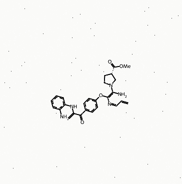 C=C/C=N\C(Oc1ccc(C(=O)C(=C)Nc2ccccc2N)cc1)=C(/N)N1CC[C@H](C(=O)OC)C1